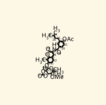 CO[C@@H]1C2OC(=O)O[C@@H]2[C@H](Oc2ccc3cc(NC(=O)c4ccc(OC(C)=O)c(CC=C(C)C)c4)c(=O)oc3c2C)OC1(C)C